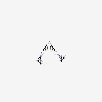 Cc1cc(-c2ccc(N3C(=O)CC(Sc4nc(S)nc(SC5CC(=O)N(c6ccc(-c7ccc(/N=N/c8ccc9c(S(=O)(=O)O)cc(S(=O)(=O)O)c(N)c9c8O)c(C)c7)cc6C)C5=O)n4)C3=O)c(C)c2)ccc1/N=N/c1ccc2c(S(=O)(=O)O)cc(S(=O)(=O)O)c(N)c2c1O